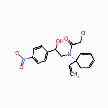 C=C[C@@]1(N(CC(O)c2ccc([N+](=O)[O-])cc2)C(=O)CCl)C=CC=CC1